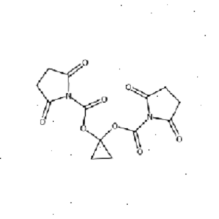 O=C1CCC(=O)N1C(=O)OC1(OC(=O)N2C(=O)CCC2=O)CC1